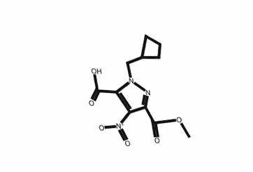 COC(=O)c1nn(CC2CCC2)c(C(=O)O)c1[N+](=O)[O-]